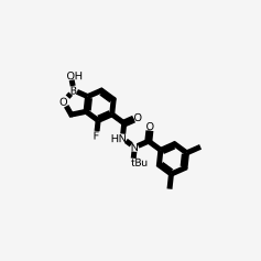 Cc1cc(C)cc(C(=O)N(NC(=O)c2ccc3c(c2F)COB3O)C(C)(C)C)c1